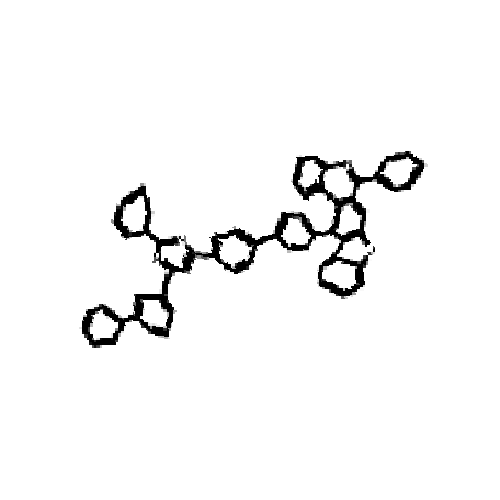 c1ccc(-c2cccc(-c3cc(-c4ccc(-c5ccc(-c6c7c(cc8c(-c9ccccc9)nc9ccccc9c68)oc6ccccc67)cc5)cc4)nc(-c4ccccc4)n3)c2)cc1